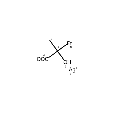 CCC(C)(O)C(=O)[O-].[Ag+]